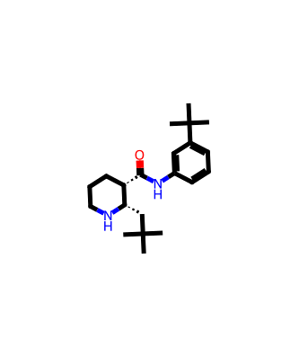 CC(C)(C)C[C@@H]1NCCC[C@@H]1C(=O)Nc1cccc(C(C)(C)C)c1